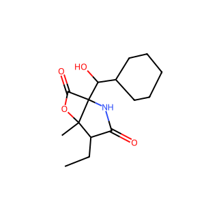 CCC1C(=O)NC2(C(O)C3CCCCC3)C(=O)OC12C